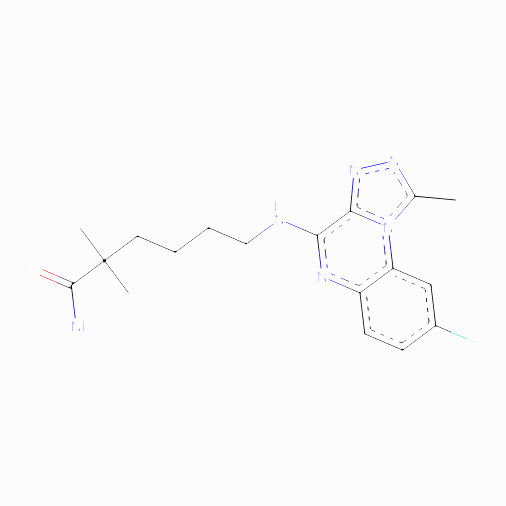 Cc1nnc2c(NCCCCC(C)(C)C(N)=O)nc3ccc(F)cc3n12